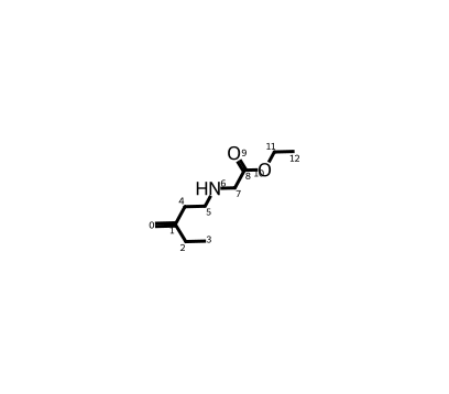 C=C(CC)CCNCC(=O)OCC